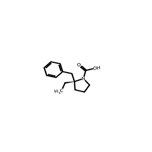 CC[C@]1(Cc2ccccc2)CCCN1C(=O)O